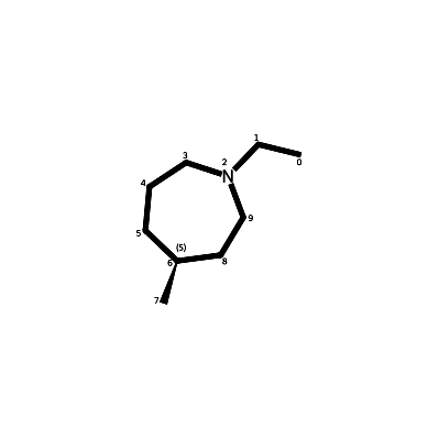 CCN1CCC[C@H](C)CC1